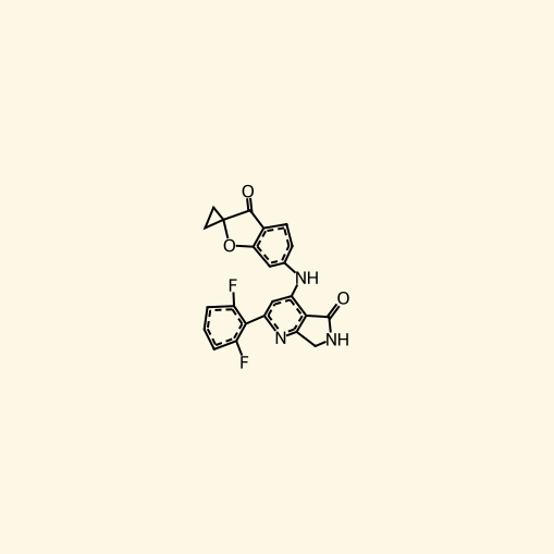 O=C1NCc2nc(-c3c(F)cccc3F)cc(Nc3ccc4c(c3)OC3(CC3)C4=O)c21